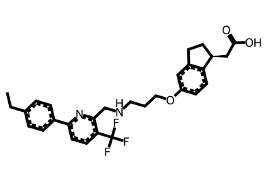 CCc1ccc(-c2ccc(C(F)(F)F)c(CNCCCOc3ccc4c(c3)CC[C@H]4CC(=O)O)n2)cc1